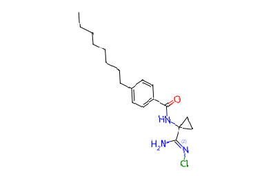 CCCCCCCCc1ccc(C(=O)NC2(/C(N)=N/Cl)CC2)cc1